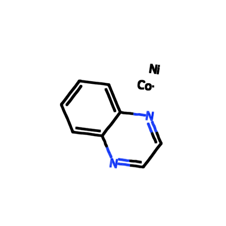 [Co].[Ni].c1ccc2nccnc2c1